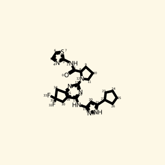 O=C(Nc1nccs1)C1CCCN1c1nc2c(c(Nc3cc(C4CCCC4)[nH]n3)n1)CC(F)(F)C2